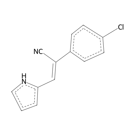 N#CC(=Cc1ccc[nH]1)c1ccc(Cl)cc1